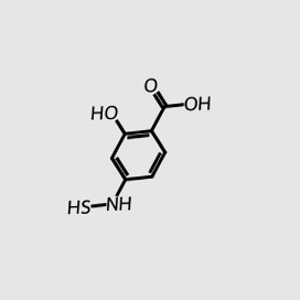 O=C(O)c1ccc(NS)cc1O